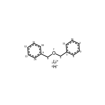 [H-].[Li+].c1ccc(COCc2ccccc2)cc1